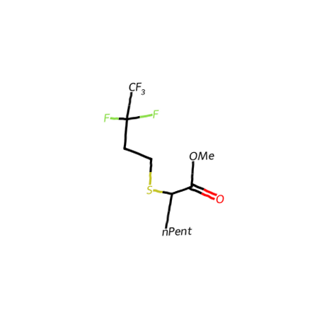 CCCCCC(SCCC(F)(F)C(F)(F)F)C(=O)OC